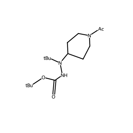 CC(=O)N1CCC(N(NC(=O)OC(C)(C)C)C(C)(C)C)CC1